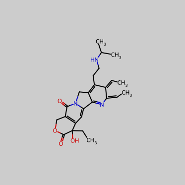 C/C=c1/c(CCNC(C)C)c2c(n/c1=C/C)-c1cc3c(c(=O)n1C2)COC(=O)C3(O)CC